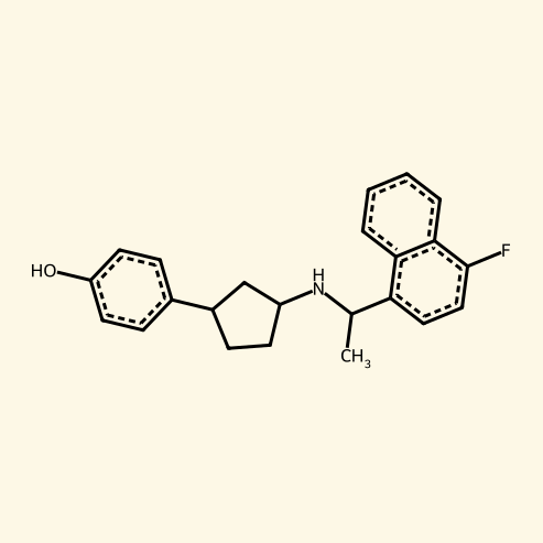 CC(NC1CCC(c2ccc(O)cc2)C1)c1ccc(F)c2ccccc12